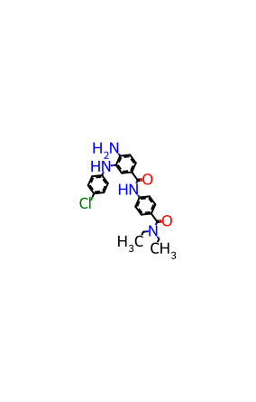 CCN(CC)C(=O)c1ccc(NC(=O)c2ccc(N)c(Nc3ccc(Cl)cc3)c2)cc1